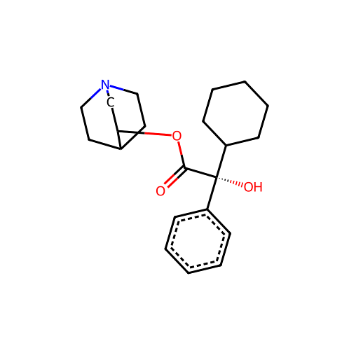 O=C(OC1CN2CCC1CC2)[C@](O)(c1ccccc1)C1CCCCC1